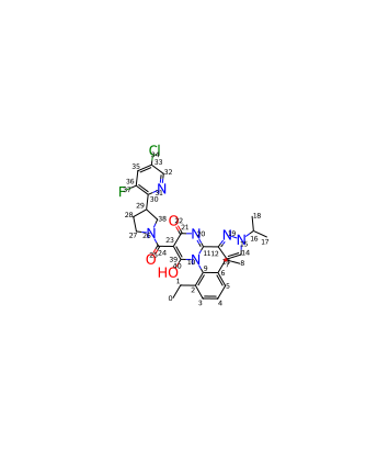 CCc1cccc(CC)c1-n1c(-c2ccn(C(C)C)n2)nc(=O)c(C(=O)N2CCC(c3ncc(Cl)cc3F)C2)c1O